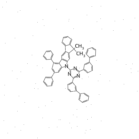 CC1(C)c2ccccc2-c2cc3c4c(-c5ccccc5)cc(-c5ccccc5)cc4n(-c4nc(-c5cccc(-c6ccccc6)c5)nc(-c5cccc(-c6ccccc6)c5)n4)c3cc21